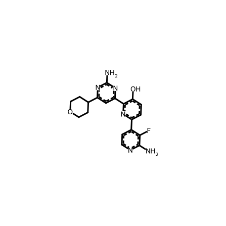 Nc1nc(-c2nc(-c3ccnc(N)c3F)ccc2O)cc(C2CCOCC2)n1